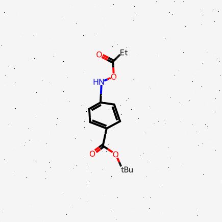 CCC(=O)ONc1ccc(C(=O)OC(C)(C)C)cc1